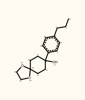 CCCc1ccc(C2(O)CCC3(CC2)OCCO3)cc1